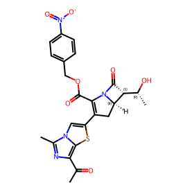 CC(=O)c1nc(C)n2cc(C3=C(C(=O)OCc4ccc([N+](=O)[O-])cc4)N4C(=O)[C@H]([C@@H](C)O)[C@H]4C3)sc12